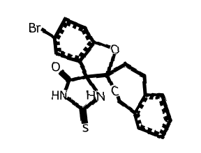 O=C1NC(=S)NC12c1cc(Br)ccc1OC21CCc2ccccc2CC1